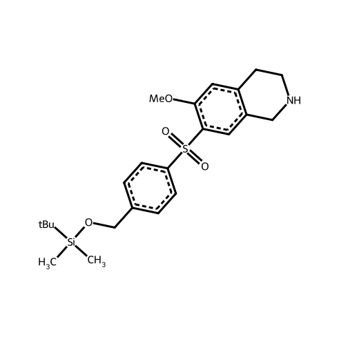 COc1cc2c(cc1S(=O)(=O)c1ccc(CO[Si](C)(C)C(C)(C)C)cc1)CNCC2